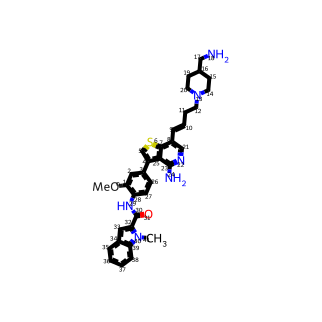 COc1cc(-c2csc3c(/C=C/CCN4CCC(CN)CC4)cnc(N)c23)ccc1NC(=O)c1cc2ccccc2n1C